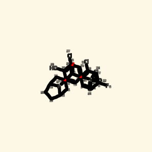 O=C(c1ccc(F)cc1Cl)N1CC2CCC(C1)N2c1cc(S(=O)(=O)Cl)cc(Cl)c1O